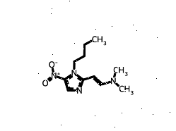 CCCCn1c([N+](=O)[O-])cnc1C=CN(C)C